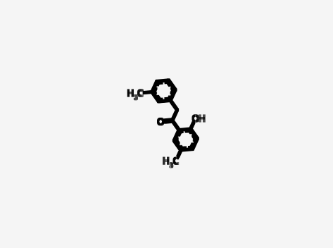 Cc1cccc(CC(=O)c2cc(C)ccc2O)c1